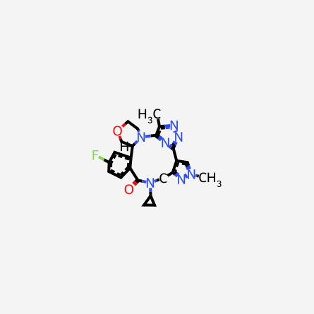 Cc1nnc2nc1N1CCOC[C@@H]1c1cc(F)ccc1C(=O)N(C1CC1)Cc1nn(C)cc1-2